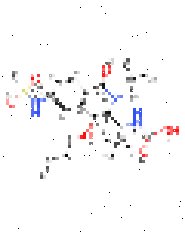 CCCCOc1c(C(NC(=O)O)C(C)(C)C)n(CC(C)C)c(=O)c2ccc(NS(C)(=O)=O)cc12